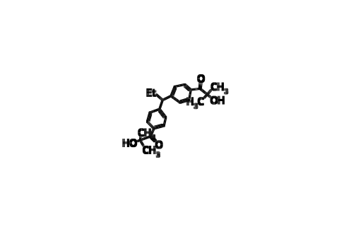 [CH2]CC(c1ccc(C(=O)C(C)(C)O)cc1)c1ccc(C(=O)C(C)(C)O)cc1